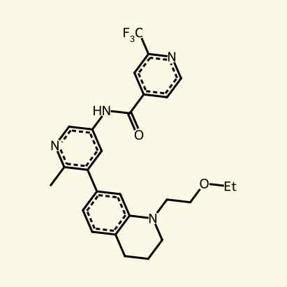 CCOCCN1CCCc2ccc(-c3cc(NC(=O)c4ccnc(C(F)(F)F)c4)cnc3C)cc21